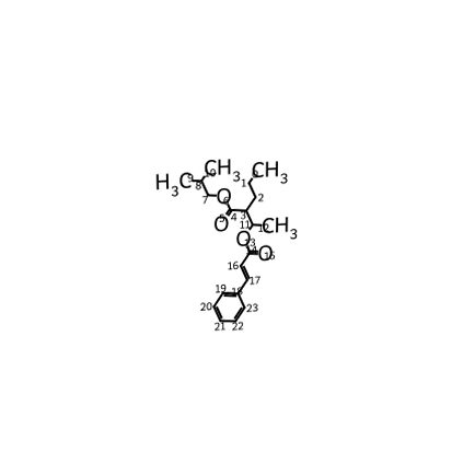 CCCC(C(=O)OCC(C)C)C(C)OC(=O)/C=C/c1ccccc1